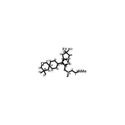 CNCCN(C)Cc1nn2c(c1C1CCC3(CC1)COCC(C)(C)C3)CC(F)(F)C2